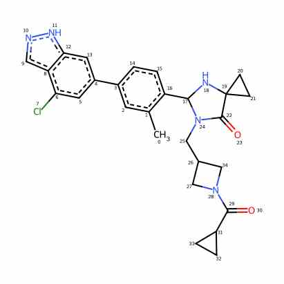 Cc1cc(-c2cc(Cl)c3cn[nH]c3c2)ccc1C1NC2(CC2)C(=O)N1CC1CN(C(=O)C2CC2)C1